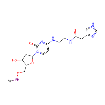 [3H]POCC1OC(n2ccc(NCCNC(=O)Cc3c[nH]cn3)nc2=O)CC1O